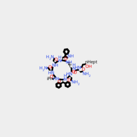 CCCCCCC[C@@H](O)CC(=O)N[C@H](CCN)C(=O)N[C@H]1CCNC(=O)[C@H](Cc2c[nH]c3ccccc23)NC(=O)[C@H](CCN)NC(=O)[C@H](CCN)NC(=O)[C@H](CC(C)C)NC(=O)[C@@H](C(c2ccccc2)c2ccccc2)NC(=O)[C@H](CCN)NC1=O